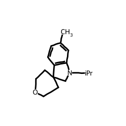 Cc1ccc2c(c1)N(C(C)C)CC21CCOCC1